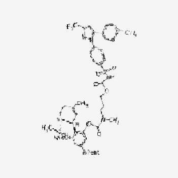 C=C(C)[C@@H]1CCC(C)=C[C@H]1c1c(OC)cc(CCCCC)cc1OC(=O)N(C)CCCOC(=O)NS(=O)(=O)c1ccc(-n2nc(C(F)(F)F)cc2-c2ccc(C)cc2)cc1